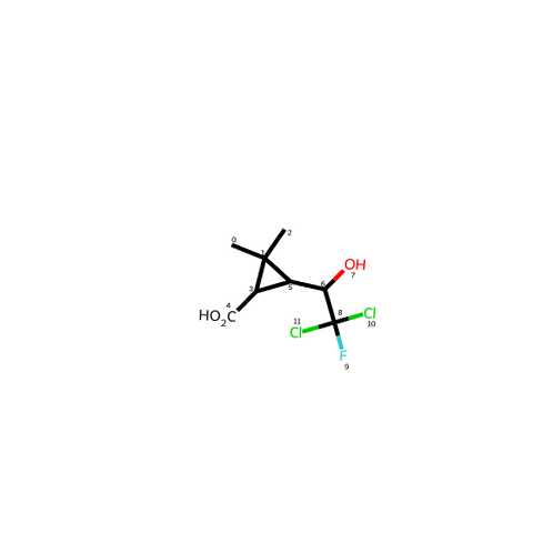 CC1(C)C(C(=O)O)C1C(O)C(F)(Cl)Cl